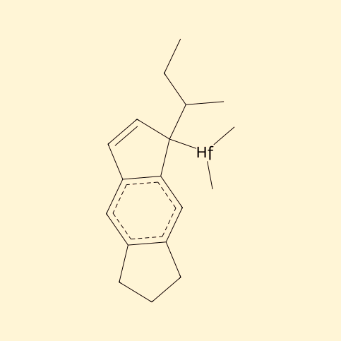 CCC(C)[C]1([Hf]([CH3])[CH3])C=Cc2cc3c(cc21)CCC3